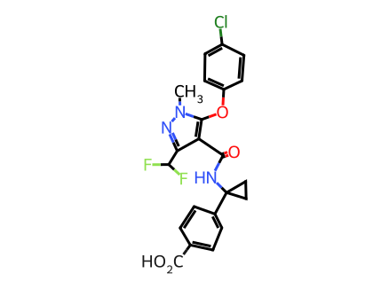 Cn1nc(C(F)F)c(C(=O)NC2(c3ccc(C(=O)O)cc3)CC2)c1Oc1ccc(Cl)cc1